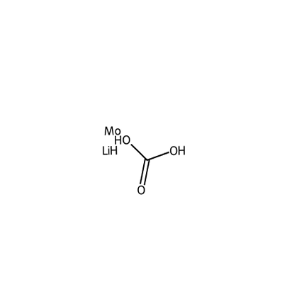 O=C(O)O.[LiH].[Mo]